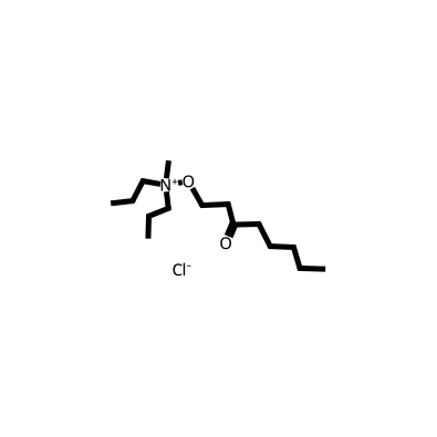 CCCCCC(=O)CCO[N+](C)(CCC)CCC.[Cl-]